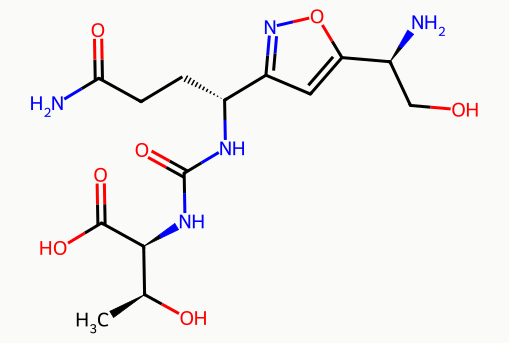 C[C@H](O)[C@H](NC(=O)N[C@H](CCC(N)=O)c1cc([C@@H](N)CO)on1)C(=O)O